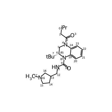 CC(C)CC(=O)N1C[C@@H](C(C)(C)C)N(C(=O)NCC2CCN(C)C2)c2ccccc21